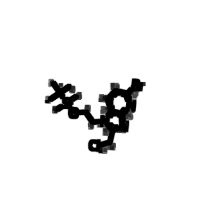 CC(C)(C)[Si](C)(C)OCCn1c(CCl)nc2nc(Br)ccc21